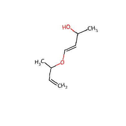 C=CC(C)OC=CC(C)O